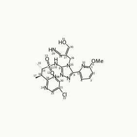 COc1cccc(-c2nnc(NS(=O)(=O)[C@@H](C)[C@H](C)c3ncc(Cl)cn3)n2C/C(C=N)=C/O)n1